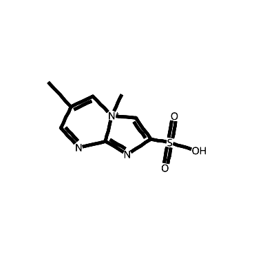 CC1=C[N+]2(C)C=C(S(=O)(=O)O)N=C2N=C1